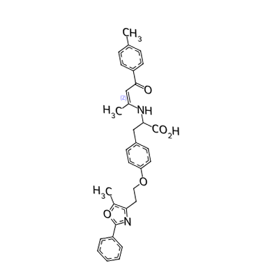 C/C(=C/C(=O)c1ccc(C)cc1)NC(Cc1ccc(OCCc2nc(-c3ccccc3)oc2C)cc1)C(=O)O